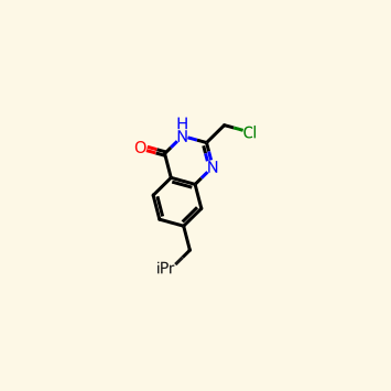 CC(C)Cc1ccc2c(=O)[nH]c(CCl)nc2c1